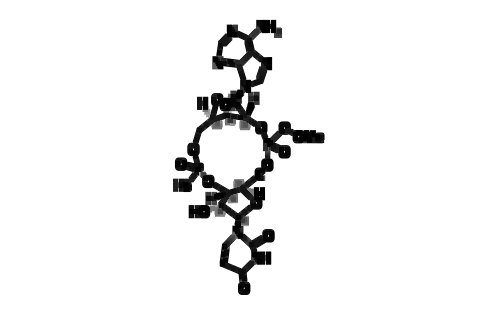 COOP1(=O)OC[C@H]2O[C@@H](n3ccc(=O)[nH]c3=O)[C@H](O)[C@@H]2OP(=O)(S)OC[C@H]2O[C@@H](n3cnc4c(N)ncnc43)[C@H](O1)[C@@H]2O